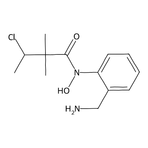 CC(Cl)C(C)(C)C(=O)N(O)c1ccccc1CN